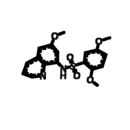 COc1ccc(OC)c(S(=O)(=O)Nc2cc(OC)cc3cccnc23)c1